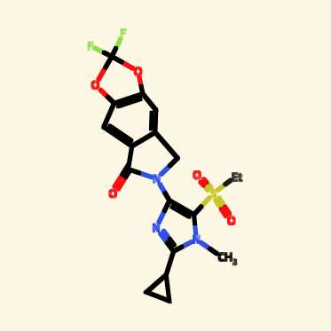 CCS(=O)(=O)c1c(N2Cc3cc4c(cc3C2=O)OC(F)(F)O4)nc(C2CC2)n1C